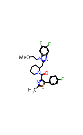 COCCn1c(CC2CCCCN2C(=O)c2nc(C)sc2-c2ccc(F)cc2)nc2cc(F)c(F)cc21